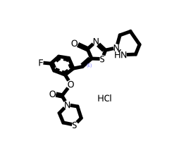 Cl.O=C1N=C(N2CCCCN2)S/C1=C/c1ccc(F)cc1OC(=O)N1CCSCC1